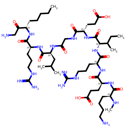 CCCCC[C@H](NC(=O)[C@H](CCCNC(=N)N)NC(=O)[C@H](CC(C)C)NC(=O)CNC(=O)[C@H](CCC(=O)O)NC(=O)[C@@H](NC(=O)[C@H](CCCNC(=N)N)NC(=O)[C@H](CCC(=O)O)NC(=O)[C@H](CCCCN)NC)C(C)CC)C(=O)CN